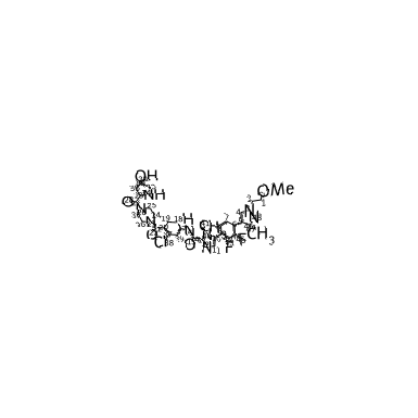 COCCn1cc(-c2ccc(-c3cnc(C(=O)Nc4ccc(C(=O)N5CCN(C(=O)C6C[C@@H](O)CN6)CC5)c(Cl)c4)n3C)c(F)c2F)c(C)n1